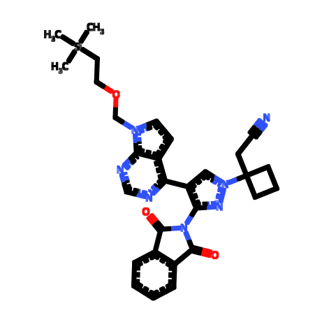 C[Si](C)(C)CCOCn1ccc2c(-c3cn(C4(CC#N)CCC4)nc3N3C(=O)c4ccccc4C3=O)ncnc21